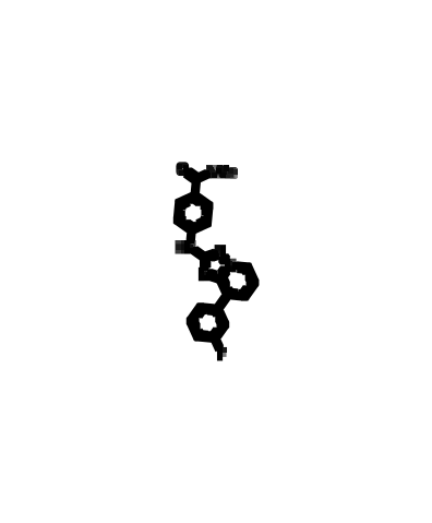 CNC(=O)c1ccc(Nc2nc3c(-c4cccc(F)c4)cccn3n2)cc1